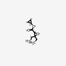 CCC1(CC)OC1C(=O)OC1CC1